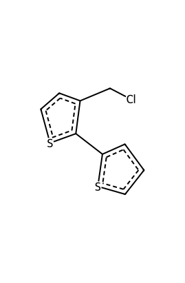 ClCc1ccsc1-c1cccs1